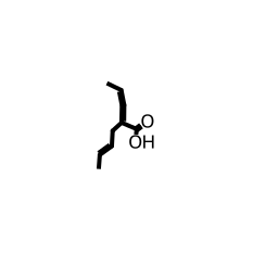 CC=C=C(CC=CC)C(=O)O